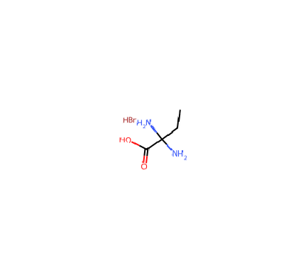 Br.CCC(N)(N)C(=O)O